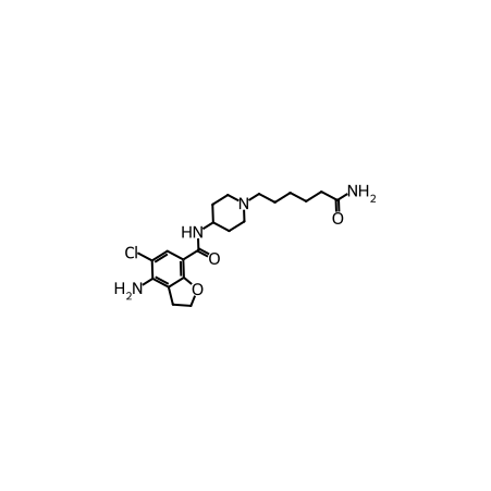 NC(=O)CCCCCN1CCC(NC(=O)c2cc(Cl)c(N)c3c2OCC3)CC1